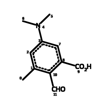 Cc1cc(N(C)C)cc(C(=O)O)c1C=O